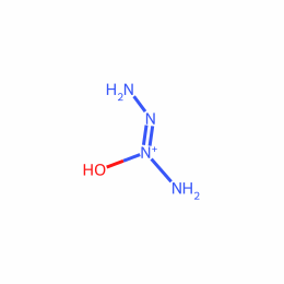 NN=[N+](N)O